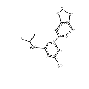 CC(C)Nc1cc(-c2ccc3c(c2)OCO3)nc(N)n1